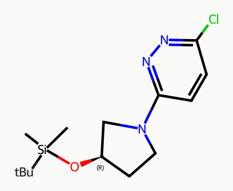 CC(C)(C)[Si](C)(C)O[C@@H]1CCN(c2ccc(Cl)nn2)C1